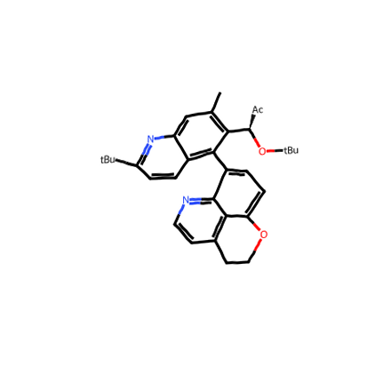 CC(=O)[C@@H](OC(C)(C)C)c1c(C)cc2nc(C(C)(C)C)ccc2c1-c1ccc2c3c(ccnc13)CCO2